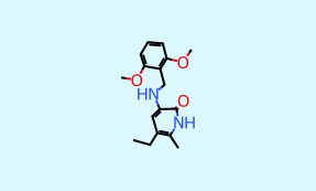 CCc1cc(NCc2c(OC)cccc2OC)c(=O)[nH]c1C